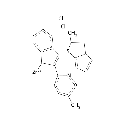 CC1=CC2C=CC=C2S1.Cc1ccc(C2=Cc3ccccc3[CH]2[Zr+2])nc1.[Cl-].[Cl-]